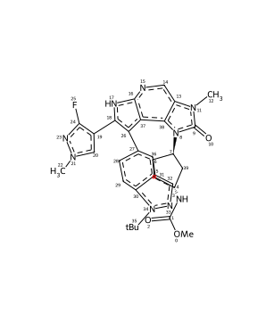 COC(=O)N[C@@H]1CC[C@@H](n2c(=O)n(C)c3cnc4[nH]c(-c5cn(C)nc5F)c(-c5ccc6c(cnn6C(C)(C)C)c5)c4c32)C1